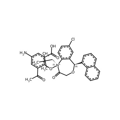 CC(=O)c1cc(N)cc(C(=O)O)c1O[N@+]1(CC(C)(C)C)C(=O)CO[C@H](c2cccc3ccccc23)c2cc(Cl)ccc21